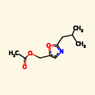 CC(=O)OCc1cnc(CC(C)C)o1